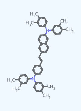 Cc1ccc(N(c2ccc(/C=C/c3ccc4cc(N(c5ccc(C)c(C)c5)c5ccc(C)c(C)c5)ccc4c3)cc2)c2ccc(C)c(C)c2)cc1C